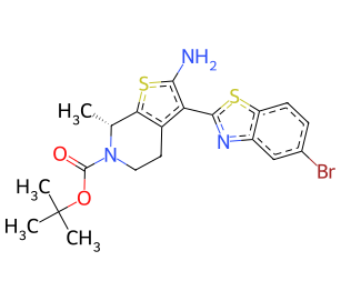 C[C@@H]1c2sc(N)c(-c3nc4cc(Br)ccc4s3)c2CCN1C(=O)OC(C)(C)C